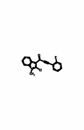 Cn1c(Cl)c(C(=O)C#Cc2ccccc2F)c2ccccc21